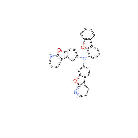 c1ccc2c(c1)oc1c(N(c3ccc4c(c3)oc3ncccc34)c3ccc4oc5ncccc5c4c3)cccc12